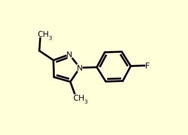 CCc1cc(C)n(-c2ccc(F)cc2)n1